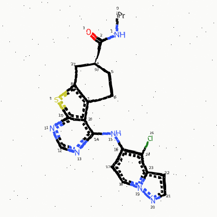 CC(C)NC(=O)[C@H]1CCc2c(sc3ncnc(Nc4ccn5nccc5c4Cl)c23)C1